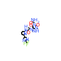 CC(C(=O)Nc1cccc(-c2cnc(C(F)(F)F)nc2)n1)N1CNc2c1c(=O)n(CC(N)=O)c(=O)n2C